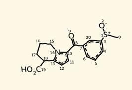 C[S+]([O-])c1cccc(C(=O)c2ccc3n2CCCC3C(=O)O)c1